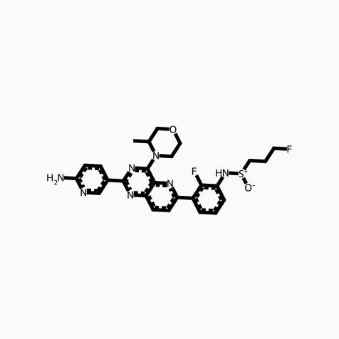 CC1COCCN1c1nc(-c2ccc(N)nc2)nc2ccc(-c3cccc(N[S+]([O-])CCCF)c3F)nc12